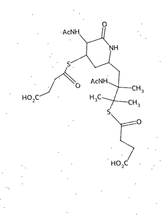 CC(=O)NC1C(=O)NC(CC(C)(NC(C)=O)C(C)(C)SC(=O)CCC(=O)O)CC1SC(=O)CCC(=O)O